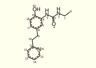 CCNC(=O)Nc1cc(CCc2ccccn2)ccc1O